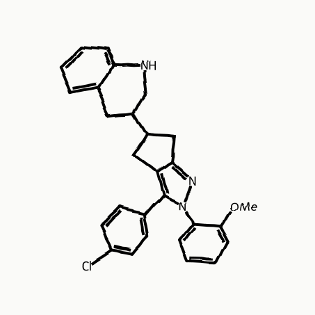 COc1ccccc1-n1nc2c(c1-c1ccc(Cl)cc1)CC(C1CNc3ccccc3C1)C2